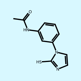 CC(=O)Nc1cccc(-n2ccnc2S)c1